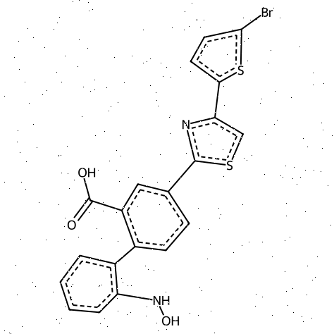 O=C(O)c1cc(-c2nc(-c3ccc(Br)s3)cs2)ccc1-c1ccccc1NO